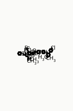 CCN(CC)CCC(CSc1ccccc1)Nc1ccc(S(=O)(=O)NC(=O)c2ccc(N3CCN(CC4=C(c5ccc(Cl)cc5)CCC(C)(C)C4)CC3)cc2)cc1S(=O)(=O)C(F)(F)F